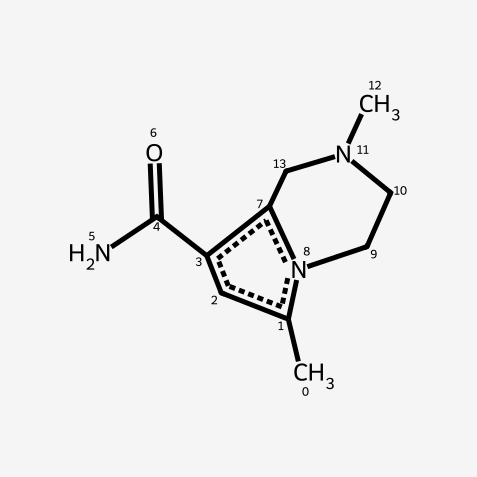 Cc1cc(C(N)=O)c2n1CCN(C)C2